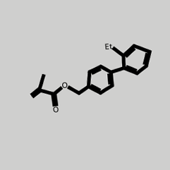 C=C(C)C(=O)OCc1ccc(-c2ccccc2CC)cc1